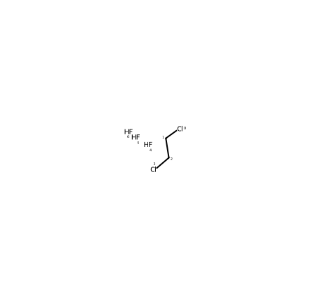 ClCCCl.F.F.F